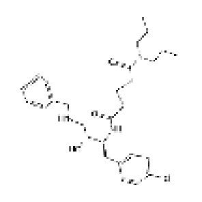 CCCN(CCC)C(=O)CCCC(=O)N[C@@H](Cc1ccc(Cl)cc1)[C@H](O)CNCc1ccccc1